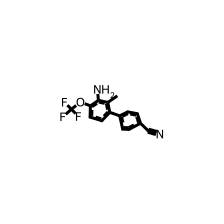 Cc1c(-c2ccc(C#N)cc2)ccc(OC(F)(F)F)c1N